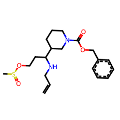 C=CCNC(CCOS(C)=O)C1CCCN(C(=O)OCc2ccccc2)C1